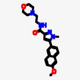 COc1ccc2cc(-c3cc(C(=O)NCCN4CCOCC4)nn3C)ccc2c1